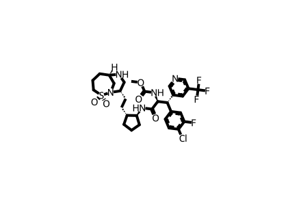 COC(=O)N[C@H](C(=O)N[C@H]1CCC[C@@H]1CC[C@H]1CN[C@@H]2CCCS(=O)(=O)N1C2)[C@H](c1cncc(C(F)(F)F)c1)c1ccc(Cl)c(F)c1